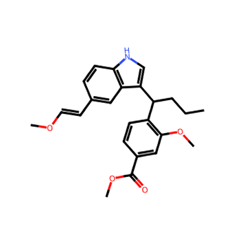 CCCC(c1ccc(C(=O)OC)cc1OC)c1c[nH]c2ccc(C=COC)cc12